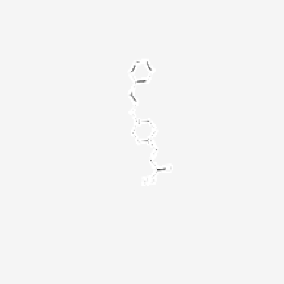 O=C(O)CCN1CCN(CC=Cc2ccccc2)CC1